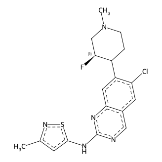 Cc1cc(Nc2ncc3cc(Cl)c(C4CCN(C)C[C@@H]4F)cc3n2)sn1